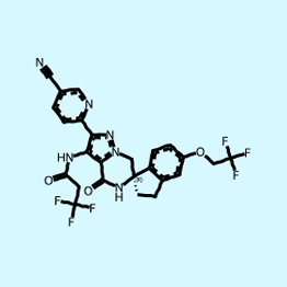 N#Cc1ccc(-c2nn3c(c2NC(=O)CC(F)(F)F)C(=O)N[C@@]2(CCc4cc(OCC(F)(F)F)ccc42)C3)nc1